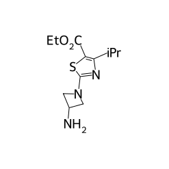 CCOC(=O)c1sc(N2CC(N)C2)nc1C(C)C